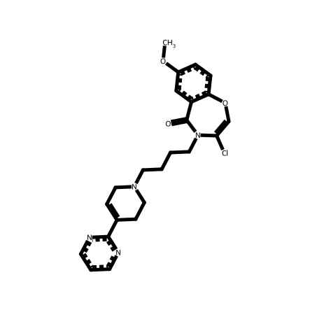 COc1ccc2c(c1)C(=O)N(CCCCN1CC=C(c3ncccn3)CC1)C(Cl)=CO2